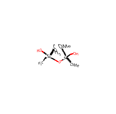 CO[Si](O)(OC)O[Si](C)(C)O